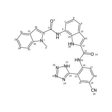 Cn1c(C(=O)Nc2cccc3cc(C(=O)Nc4ccc(C#N)cc4-c4nnn[nH]4)[nH]c23)cc2ccccc21